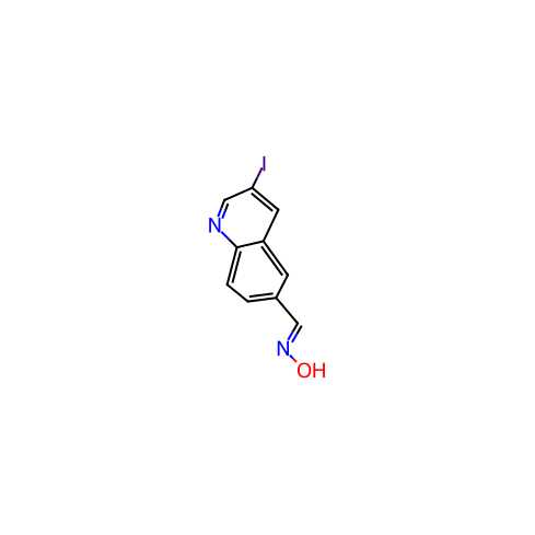 ON=Cc1ccc2ncc(I)cc2c1